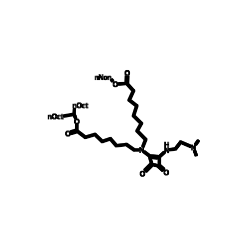 CCCCCCCCCOC(=O)CCCCCCCN(CCCCCCCC(=O)OC(CCCCCCCC)CCCCCCCC)c1c(NCCN(C)C)c(=O)c1=O